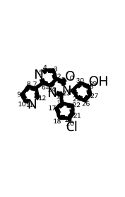 O=c1c2ccnc(-c3cccnc3)c2nc(-c2ccc(Cl)cc2)n1-c1cccc(O)c1